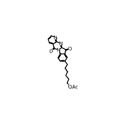 CC(=O)OCCCCCCc1ccc2c(c1)C(=O)c1nc3ncccc3c(=O)n1-2